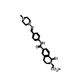 CCC1c2ccc(C(=O)Nc3ccc(C=NN4CCN(C)CC4)cc3)cc2CCN1CC(=O)O